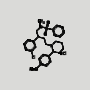 COc1ccc(C2CCCCN2CCC(CN(C)S(=O)(=O)c2ccccc2)c2cccc(Cl)c2)cc1.Cl